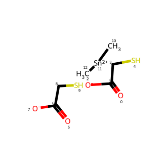 O=C([O-])CS.O=C([O-])CS.[CH3][Sn+2][CH3]